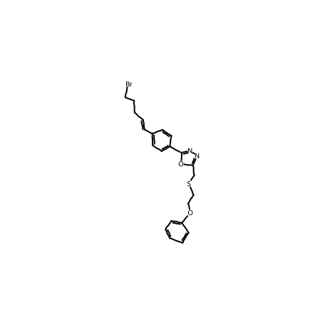 BrCCCC=Cc1ccc(-c2nnc(CSCCOc3ccccc3)o2)cc1